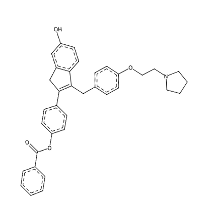 O=C(Oc1ccc(C2=C(Cc3ccc(OCCN4CCCC4)cc3)c3ccc(O)cc3C2)cc1)c1ccccc1